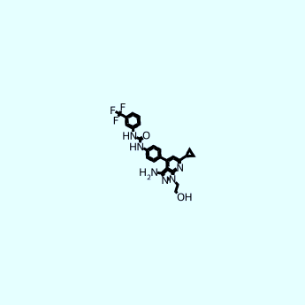 Nc1nn(CCO)c2nc(C3CC3)cc(-c3ccc(NC(=O)Nc4cccc(C(F)(F)F)c4)cc3)c12